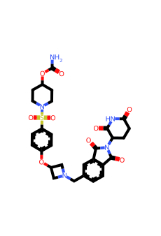 NC(=O)OC1CCN(S(=O)(=O)c2ccc(OC3CN(Cc4ccc5c(c4)C(=O)N(C4CCC(=O)NC4=O)C5=O)C3)cc2)CC1